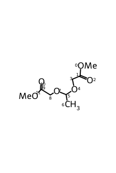 COC(=O)COC(C)OCC(=O)OC